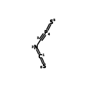 S=C=NC#P=S